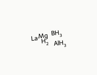 B.[AlH3].[La].[MgH2]